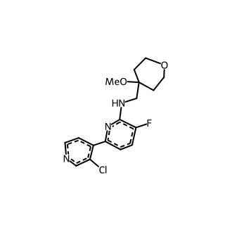 COC1(CNc2nc(-c3ccncc3Cl)ccc2F)CCOCC1